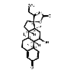 CCC(=O)O[C@]1(C(=O)COC(C)=O)CC[C@H]2[C@@H]3CCC4=CC(=O)C=C[C@]4(C)[C@H]3C(O)C[C@@]21C